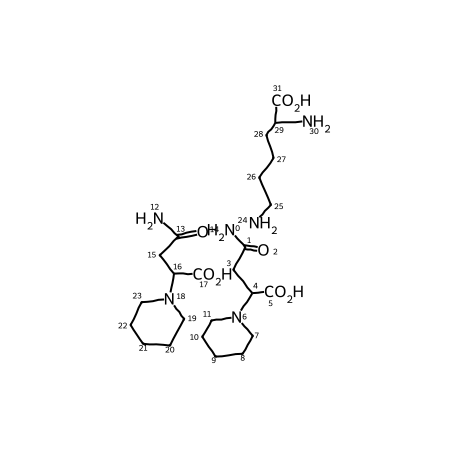 NC(=O)CC(C(=O)O)N1CCCCC1.NC(=O)CC(C(=O)O)N1CCCCC1.NCCCCC(N)C(=O)O